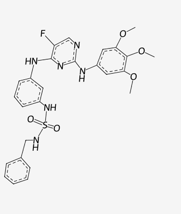 COc1cc(Nc2ncc(F)c(Nc3cccc(NS(=O)(=O)NCc4ccccc4)c3)n2)cc(OC)c1OC